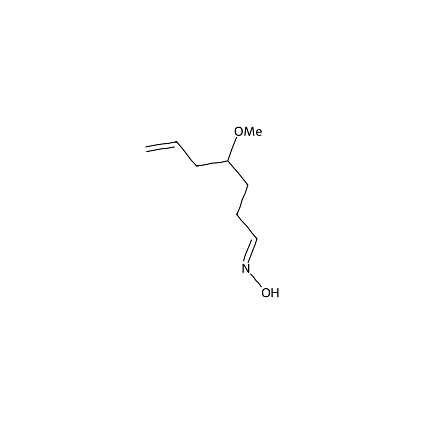 C=CCC(CC/C=N/O)OC